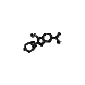 Cn1c(N2C3CCC2COC3)nc2cc([N+](=O)[O-])ccc21